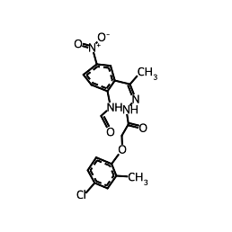 C/C(=N/NC(=O)COc1ccc(Cl)cc1C)c1cc([N+](=O)[O-])ccc1NC=O